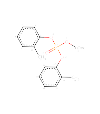 CCCCCCCCCCOP(=O)(Oc1ccccc1C)Oc1ccccc1C